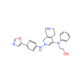 OCCN(C1=CN(Nc2ccc(-c3cnco3)cc2)CC2=C1CCNC2)c1ccccc1